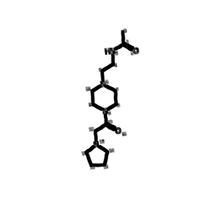 CC(=O)NCCN1CCN(C(=O)CN2CCCC2)CC1